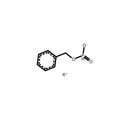 O=[PH]([O-])OCc1ccccc1.[K+]